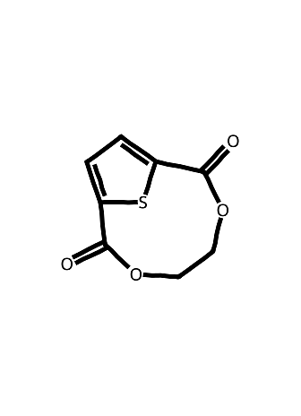 O=C1OCCOC(=O)c2ccc1s2